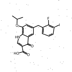 CC(C)Oc1cc(Cc2cccc(I)c2F)cc2c(=O)c(C(=O)O)c[nH]c12